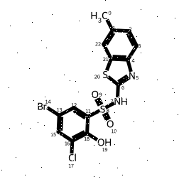 Cc1ccc2nc(NS(=O)(=O)c3cc(Br)cc(Cl)c3O)sc2c1